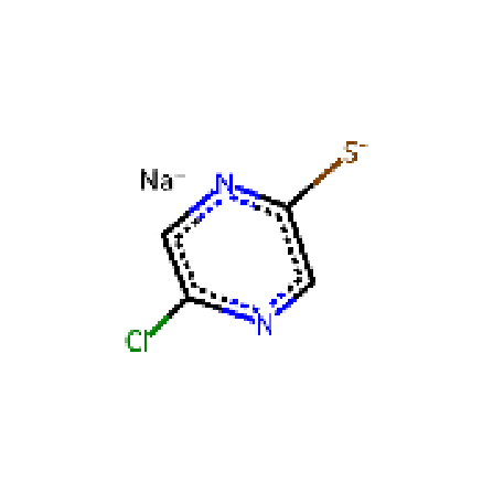 [Na+].[S-]c1cnc(Cl)cn1